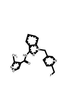 Cc1nocc1C(=O)Nc1nn(Cc2ccc(CF)nc2)c2ccccc12